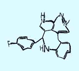 Fc1ccc(C2Nc3ccccc3-c3cnnc4[nH]cc2c34)cc1